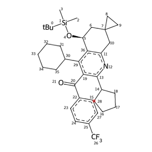 CC(C)(C)[Si](C)(C)O[C@H]1CC2(CC2)Cc2nc(C3CCCC3)c(C(=O)c3ccc(C(F)(F)F)cc3)c(C3CCCCC3)c21